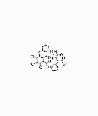 NC(=O)NC(C(=O)S)c1ccccc1.O=C(O)c1c(Cl)c(Cl)c(Cl)c(Cl)c1C(=O)c1ccccc1